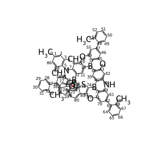 Cc1cc(C)c(N2c3cc4c(cc3B3c5sc6ccccc6c5Oc5cc(-c6ccccc6C)cc2c53)B2c3cc5c(cc3Oc3cc(-c6ccccc6C)cc(c32)O4)Nc2cc(-c3ccccc3C)cc3c2B5c2sc4ccccc4c2O3)c(C)c1